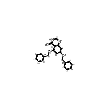 O=c1[nH]cnc2cc(OCc3ccccc3)cc(OCc3ccccc3)c12